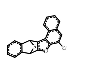 Clc1cc2ccccc2c2c3c(oc12)C1SC3c2ccccc21